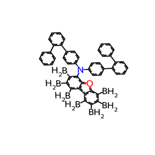 Bc1c(B)c(B)c2c(oc3c(N(c4ccc(-c5ccccc5-c5ccccc5)cc4)c4ccc(-c5ccccc5-c5ccccc5)cc4)c(B)c(B)c(B)c32)c1B